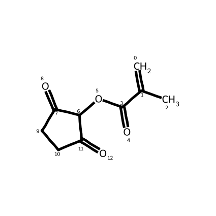 C=C(C)C(=O)OC1C(=O)CCC1=O